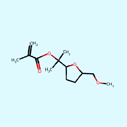 C=C(C)C(=O)OC(C)(C)C1CCC(COC)O1